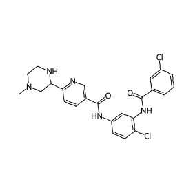 CN1CCNC(c2ccc(C(=O)Nc3ccc(Cl)c(NC(=O)c4cccc(Cl)c4)c3)cn2)C1